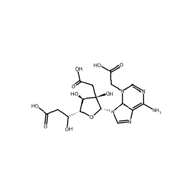 NC1=C2N=CN([C@@H]3O[C@H](C(O)CC(=O)O)[C@@H](O)[C@]3(O)CC(=O)O)C2N(CC(=O)O)C=N1